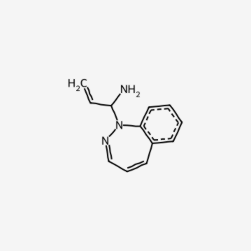 C=CC(N)N1N=CC=Cc2ccccc21